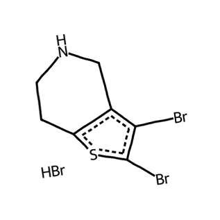 Br.Brc1sc2c(c1Br)CNCC2